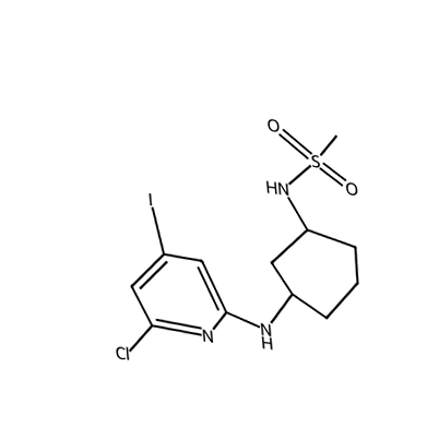 CS(=O)(=O)NC1CCCC(Nc2cc(I)cc(Cl)n2)C1